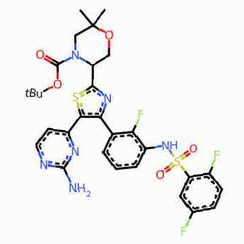 CC(C)(C)OC(=O)N1CC(C)(C)OCC1c1nc(-c2cccc(NS(=O)(=O)c3cc(F)ccc3F)c2F)c(-c2ccnc(N)n2)s1